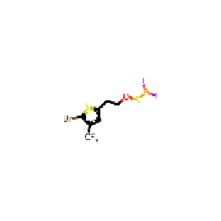 FC(F)(F)c1cc(CCOSP(I)I)sc1Br